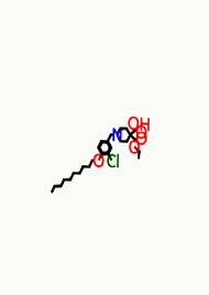 CCCCCCCCCCOc1ccc(CN2CCC(C(=O)O)(C(=O)OCC)CC2)cc1Cl